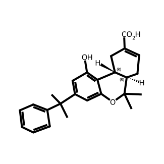 CC(C)(c1ccccc1)c1cc(O)c2c(c1)OC(C)(C)[C@@H]1CC=C(C(=O)O)C[C@@H]21